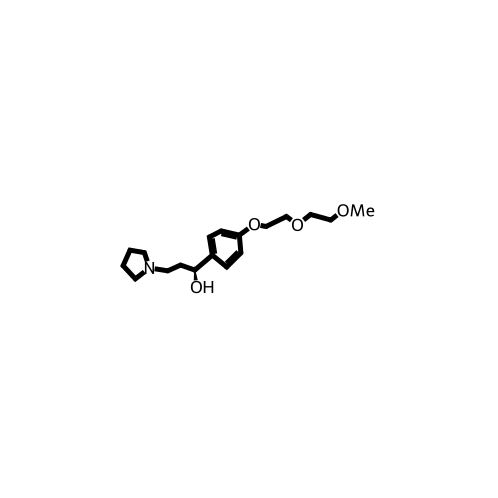 COCCOCCOc1ccc([C@@H](O)CCN2CCCC2)cc1